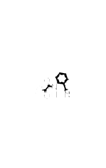 COC(=O)C(=O)Nc1ccccc1C#N